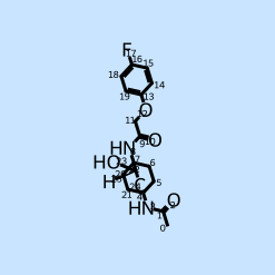 CC(=O)NC12CCC(NC(=O)COc3ccc(F)cc3)(CC1)[C@@H](O)C2